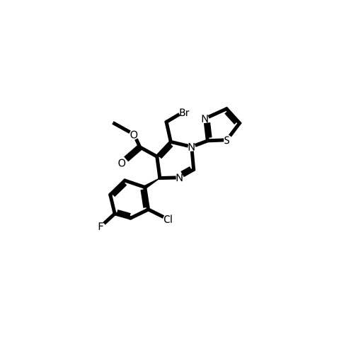 COC(=O)C1=C(CBr)N(c2nccs2)C=N[C@H]1c1ccc(F)cc1Cl